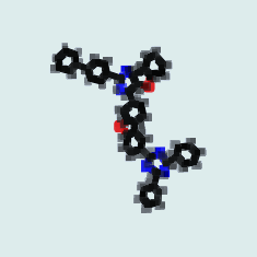 c1ccc(-c2ccc(-c3nc(-c4ccc5c(c4)oc4ccc(-c6nc(-c7ccccc7)nc(-c7ccccc7)n6)cc45)c4oc5ccccc5c4n3)cc2)cc1